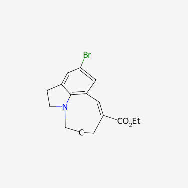 CCOC(=O)C1=Cc2cc(Br)cc3c2N(CCC1)CC3